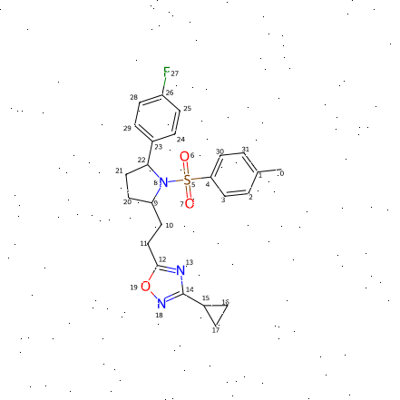 Cc1ccc(S(=O)(=O)N2C(CCc3nc(C4CC4)no3)CCC2c2ccc(F)cc2)cc1